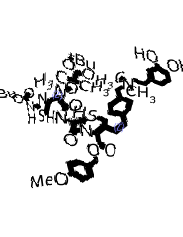 COc1ccc(COC(=O)C2=C(/C=C\c3ccc(C[N+](C)(C)CCc4ccc(O)c(O)c4)cc3)CS[C@@H]3[C@H](NC(=O)/C(=N\OC(C)(C)C(=O)OC(C)(C)C)c4csc(NC(=O)OC(C)(C)C)n4)C(=O)N23)cc1